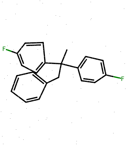 CC(Cc1ccccc1)(c1ccc(F)cc1)c1ccc(F)cc1